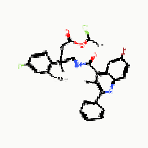 CCCC(F)OC(=O)CC(C)(CNC(=O)c1c(C)c(-c2ccccc2)nc2ccc(Br)cc12)c1ccc(F)cc1OC